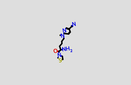 CN(CCCCC(N)C(=O)N1CCSC1)c1ccc(C#N)cn1